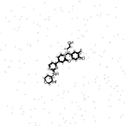 O=c1cc(-c2ccnc(N[C@@H]3CCOC[C@H]3F)n2)ccn1[C@H](CCO)c1ccc(Cl)c(F)c1